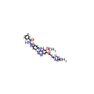 COc1cc2c(Nc3ccc4nc(NC(=O)c5ccccc5)sc4c3)ncnc2cc1OCCCN1CCN(C)CC1